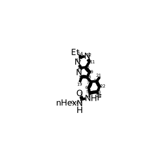 CCCCCCNC(=O)Nc1cc(-c2cc3cnc(CC)nc3nc2C)c(C)cc1F